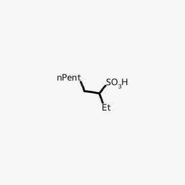 [CH2]CC(CCCCCC)S(=O)(=O)O